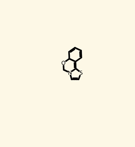 C1=CC2=C3SC=CN3COC2C=C1